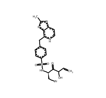 C=CC(O)C(=O)[C@@H](CC(C)C)NS(=O)(=O)c1ccc(Cc2[nH]ccc3nc(C)nc2-3)cc1